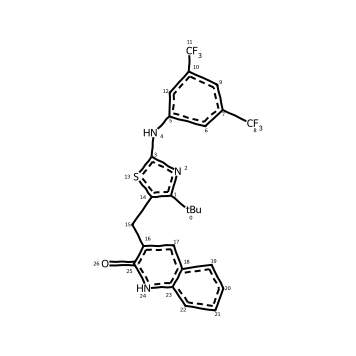 CC(C)(C)c1nc(Nc2cc(C(F)(F)F)cc(C(F)(F)F)c2)sc1Cc1cc2ccccc2[nH]c1=O